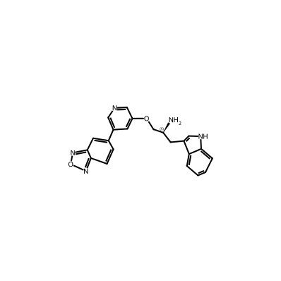 N[C@H](COc1cncc(-c2ccc3nonc3c2)c1)Cc1c[nH]c2ccccc12